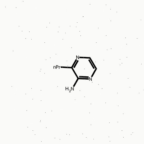 CCCc1nccnc1N